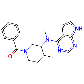 CC1CCN(C(=O)c2ccccc2)CC1N(C)c1ncnc2[nH]ccc12